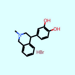 Br.CN1Cc2ccccc2C(c2ccc(O)c(O)c2)C1